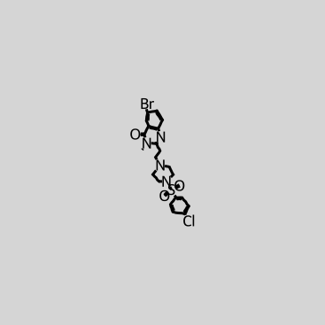 Cn1c(CCN2CCN(S(=O)(=O)c3ccc(Cl)cc3)CC2)nc2ccc(Br)cc2c1=O